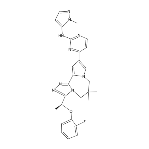 C[C@H](Oc1ccccc1F)c1nnc2n1CC(C)(C)Cn1cc(-c3ccnc(Nc4ccnn4C)n3)cc1-2